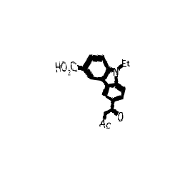 CCn1c2ccc(C(=O)O)cc2c2cc(C(=O)CC(C)=O)ccc21